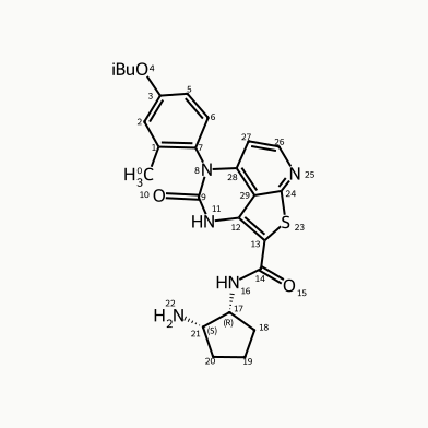 Cc1cc(OCC(C)C)ccc1N1C(=O)Nc2c(C(=O)N[C@@H]3CCC[C@@H]3N)sc3nccc1c23